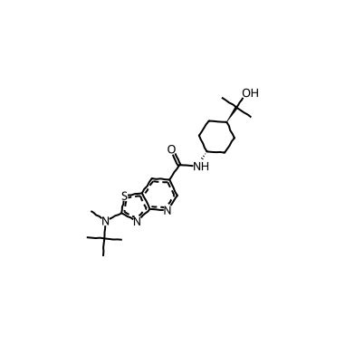 CN(c1nc2ncc(C(=O)N[C@H]3CC[C@H](C(C)(C)O)CC3)cc2s1)C(C)(C)C